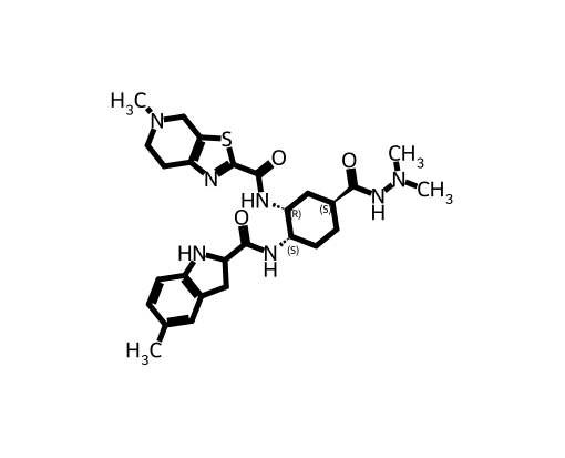 Cc1ccc2c(c1)CC(C(=O)N[C@H]1CC[C@H](C(=O)NN(C)C)C[C@H]1NC(=O)c1nc3c(s1)CN(C)CC3)N2